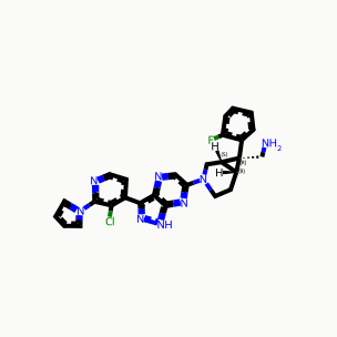 NC[C@]1(c2ccccc2F)[C@@H]2CCN(c3cnc4c(-c5ccnc(-n6cccc6)c5Cl)n[nH]c4n3)C[C@@H]21